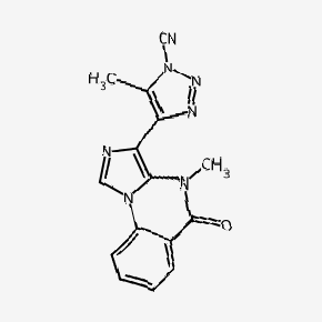 Cc1c(-c2ncn3c4ccccc4c(=O)n(C)c23)nnn1C#N